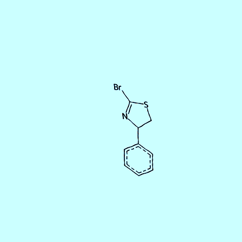 BrC1=NC(c2ccccc2)CS1